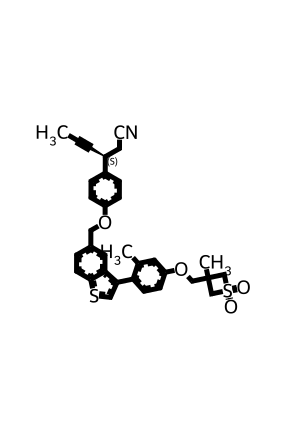 CC#C[C@@H](CC#N)c1ccc(OCc2ccc3scc(-c4ccc(OCC5(C)CS(=O)(=O)C5)cc4C)c3c2)cc1